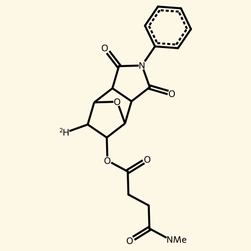 [2H]C1C(OC(=O)CCC(=O)NC)C2OC1C1C(=O)N(c3ccccc3)C(=O)C21